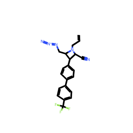 C=CCN1C(C#N)C(c2ccc(-c3ccc(C(F)(F)F)cc3)cc2)C1CN=[N+]=[N-]